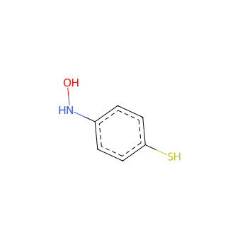 ONc1ccc(S)cc1